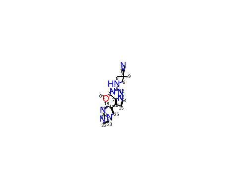 COc1nc(NCC(C)(C)C#N)nn2ccc(-c3cnc4nccn4c3)c12